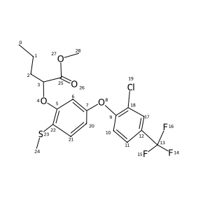 CCCC(Oc1cc(Oc2ccc(C(F)(F)F)cc2Cl)ccc1SC)C(=O)OC